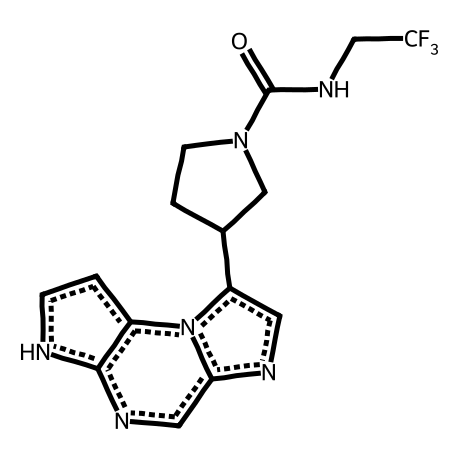 O=C(NCC(F)(F)F)N1CCC(c2cnc3cnc4[nH]ccc4n23)C1